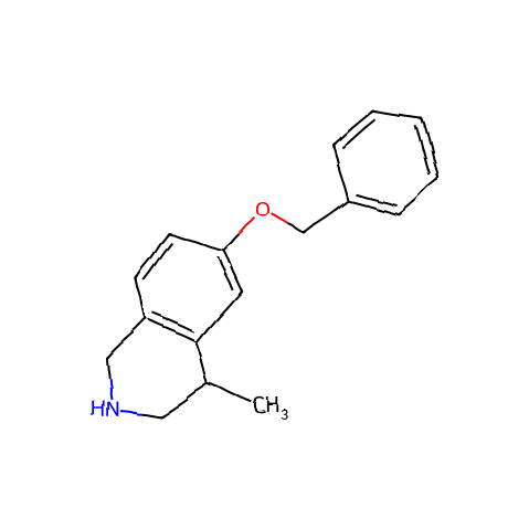 CC1CNCc2ccc(OCc3ccccc3)cc21